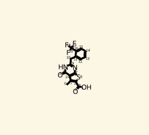 Cc1c(C(=O)O)sc2nc(Cc3ccccc3C(F)(F)F)[nH]c(=O)c12